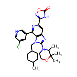 CC1CCC(Cn2c(N3CCOC(C)(C)C3C)nc3cc(-c4noc(=O)[nH]4)nc(-c4cncc(Cl)c4)c32)CC1